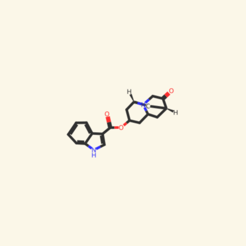 O=C(OC1CC2C[C@@H]3C[C@H](C1)N2CC3=O)c1c[nH]c2ccccc12